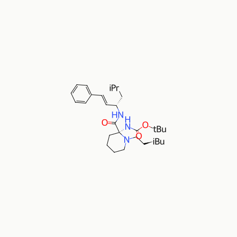 CC[C@H](C)CCN1CCCC[C@@]1(NC(=O)OC(C)(C)C)C(=O)N[C@H](/C=C/c1ccccc1)CC(C)C